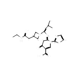 CCNC(=O)CC1CN(C(=C/C(C)C)/N=C2\CC(=O)C(C(=O)O)=CN2c2nccs2)C1